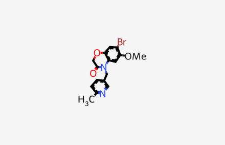 COc1cc2c(cc1Br)OCC(=O)N2Cc1ccc(C)nc1